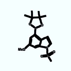 COc1cc(B2OC(C)(C)C(C)(C)O2)c2ccn(S(C)(=O)=O)c2c1